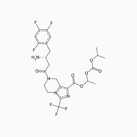 CC(C)OC(=O)OC(C)OC(=O)c1nc(C(F)(F)F)n2c1CN(C(=O)C[C@H](N)Cc1cc(F)c(F)cc1F)CC2